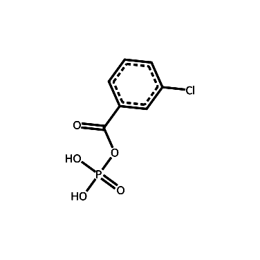 O=C(OP(=O)(O)O)c1cccc(Cl)c1